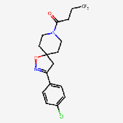 O=C(CCC(F)(F)F)N1CCC2(CC1)CC(c1ccc(Cl)cc1)=NO2